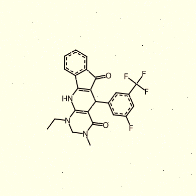 CCN1CN(C)C(=O)C2=C1NC1=C(C(=O)c3ccccc31)C2c1cc(F)cc(C(F)(F)F)c1